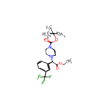 CCOC(=O)C(c1cccc(C(F)(F)F)c1)N1CCN(C(=O)OC(C)(C)C)CC1